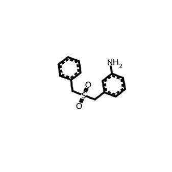 Nc1cccc(CS(=O)(=O)Cc2ccccc2)c1